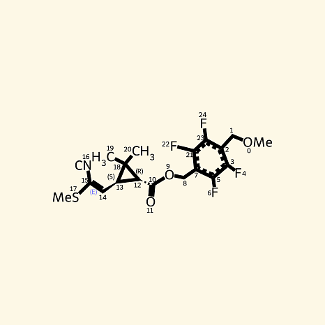 COCc1c(F)c(F)c(COC(=O)[C@@H]2[C@@H](/C=C(\C#N)SC)C2(C)C)c(F)c1F